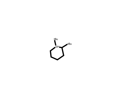 CC(C)(C)C1CCCC[SiH]1C(C)(C)C